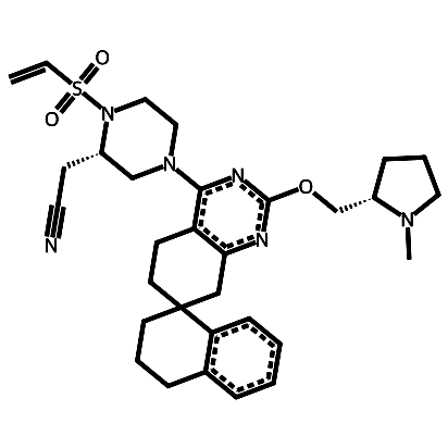 C=CS(=O)(=O)N1CCN(c2nc(OC[C@@H]3CCCN3C)nc3c2CCC2(CCCc4ccccc42)C3)C[C@@H]1CC#N